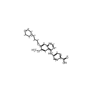 COc1cc2c(Nc3cnc(C(=O)O)nc3)ncnc2cc1OCCCN1CCOCC1